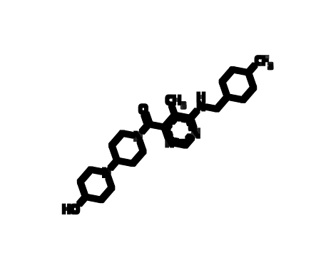 Cc1c(NCC2CCC(C(F)(F)F)CC2)ncnc1C(=O)N1CCC(N2CCC(O)CC2)CC1